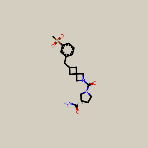 CS(=O)(=O)c1cccc(CC2CC3(C2)CN(C(=O)N2CC[C@H](C(N)=O)C2)C3)c1